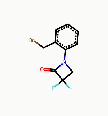 O=C1N(c2ccccc2CBr)CC1(F)F